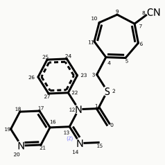 C=C(SCC1=CC=C(C#N)CC=C1)N(/C(=N\C)C1=CCCN=C1)c1ccccc1